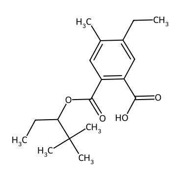 CCc1cc(C(=O)O)c(C(=O)OC(CC)C(C)(C)C)cc1C